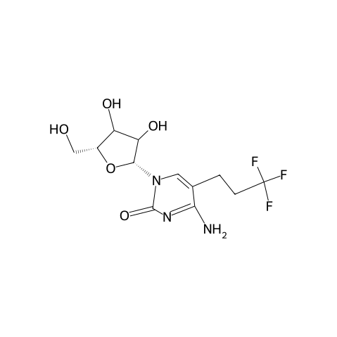 Nc1nc(=O)n([C@@H]2O[C@H](CO)C(O)C2O)cc1CCC(F)(F)F